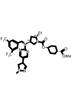 CC[C@@H]1C[C@H](N(Cc2cc(C(F)(F)F)cc(C(F)(F)F)c2)c2ncc(C3C=NN(C)C3)cn2)CN1C(=O)O[C@H]1CC[C@@H](C(=O)OC)CC1